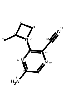 CC1CCN1c1nc(N)cnc1C#N